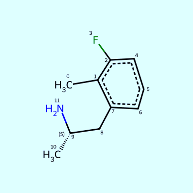 Cc1c(F)cccc1C[C@H](C)N